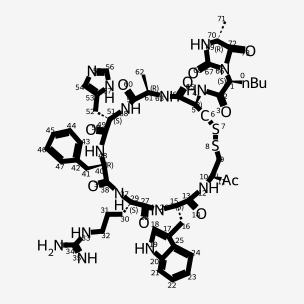 CCCC[C@@H](C(=O)N[C@H]1CSSC[C@@H](C(C)=O)NC(=O)[C@H](Cc2c[nH]c3ccccc23)NC(=O)[C@H](CCCNC(=N)N)NC(=O)[C@@H](Cc2ccccc2)NC(=O)[C@H](Cc2cnc[nH]2)NC(=O)[C@@H](C)NC1=O)N1C(=O)N[C@H](C)C1=O